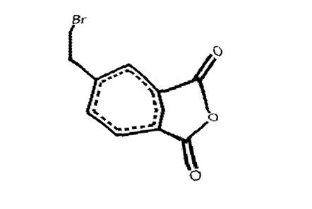 O=C1OC(=O)c2cc(CBr)ccc21